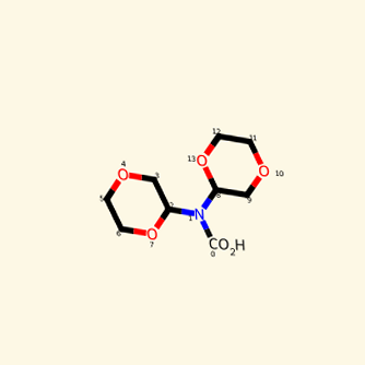 O=C(O)N(C1COCCO1)C1COCCO1